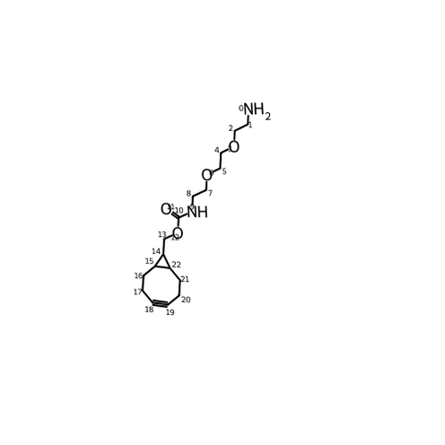 NCCOCCOCCNC(=O)OCC1C2CCC#CCCC21